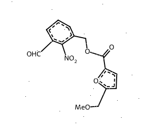 COCc1ccc(C(=O)OCc2cccc(C=O)c2[N+](=O)[O-])o1